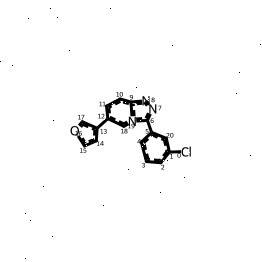 Clc1cccc(-c2nnc3ccc(-c4ccoc4)cn23)c1